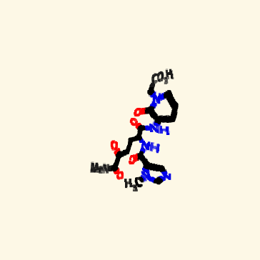 CNC(=O)C(=O)CCC(NC(=O)c1cncn1C)C(=O)Nc1cccn(CC(=O)O)c1=O